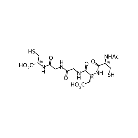 CC(=O)N[C@@H](CS)C(=O)N[C@@H](CC(=O)O)C(=O)NCC(=O)NCC(=O)N[C@@H](CS)C(=O)O